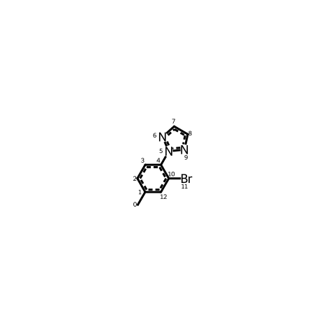 Cc1ccc(-n2nccn2)c(Br)c1